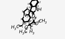 CC[C@H]1CN2CC[C@@]3(C(=O)Nc4ccccc43)C2C[C@@H]1C(C)(OC)C(=O)OC